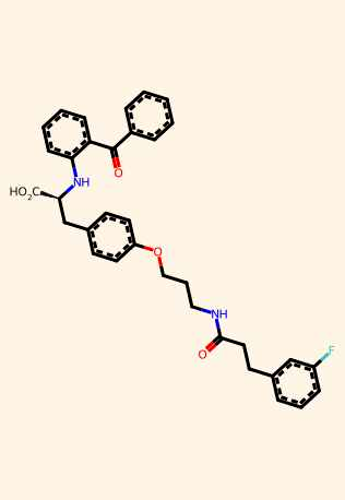 O=C(CCc1cccc(F)c1)NCCCOc1ccc(C[C@H](Nc2ccccc2C(=O)c2ccccc2)C(=O)O)cc1